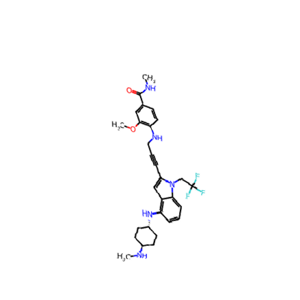 CNC(=O)c1ccc(NCC#Cc2cc3c(N[C@H]4CC[C@H](NC)CC4)cccc3n2CC(F)(F)F)c(OC)c1